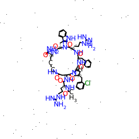 CC(=O)N[C@@H](CCCNC(=N)N)C(=O)N[C@H]1CC(=O)NCCCC[C@@H](C(N)=O)NC(=O)[C@H](Cc2c[nH]c3ccccc23)NC(=O)[C@H](CCCNC(=N)N)NC(=O)[C@@H](Cc2ccccc2)NC(=O)[C@@H]2C[C@@H](Cc3ccccc3Cl)CN2C1=O